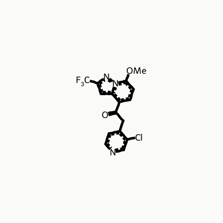 COc1ccc(C(=O)Cc2ccncc2Cl)c2cc(C(F)(F)F)nn12